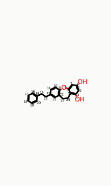 Oc1cc(O)c2c(c1)Oc1ccc(CCc3ccccc3)cc1CC2